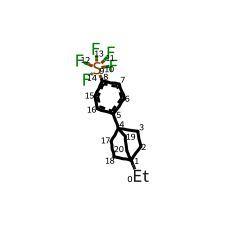 CCC12CCC(c3ccc(S(F)(F)(F)(F)F)cc3)(CC1)CC2